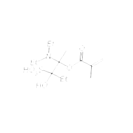 C=C(C)C(=O)OC(C)(N(CC)CC)C(O)(CC)S(=O)(=O)O